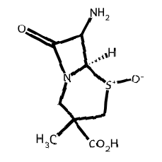 CC1(C(=O)O)CN2C(=O)C(N)[C@H]2[S+]([O-])C1